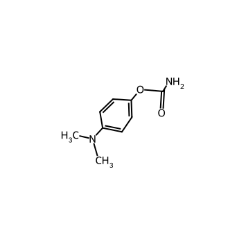 CN(C)c1ccc(OC(N)=O)cc1